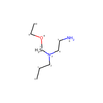 CCCN(CCN)[SiH2]OCC